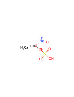 O=S(=O)(O)O.O=[NH+][O-].[CaH2].[CaH2]